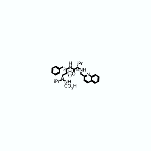 CC(C)[C@H](NCc1ccc2ccccc2n1)C(=O)N[C@@H](Cc1ccccc1)[C@H](O)CN(NC(=O)O)C(C)C